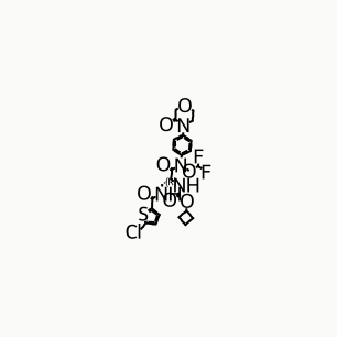 O=C(N[C@H](CNC(=O)c1ccc(Cl)s1)C(=O)N(OC(F)F)c1ccc(N2CCOCC2=O)cc1)OC1CCC1